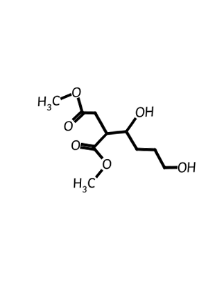 COC(=O)CC(C(=O)OC)C(O)CCCO